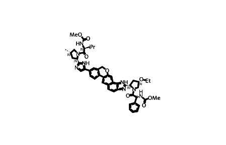 CCO[C@H]1C[C@@H](c2nc3ccc4cc5c(cc4c3[nH]2)OCc2cc(-c3cnc([C@@H]4C[C@H](C)CN4C(=O)[C@@H](NC(=O)OC)C(C)C)[nH]3)ccc2-5)N(C(=O)[C@H](NC(=O)OC)c2ccccc2)C1